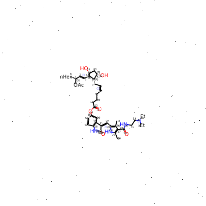 CCCCCC[C@@H](/C=C/[C@@H]1[C@@H](C/C=C\CCCC(=O)Oc2ccc3c(c2)/C(=C/c2[nH]c(C)c(C(=O)NCCN(CC)CC)c2C)C(=O)N3)[C@@H](O)C[C@H]1O)OC(C)=O